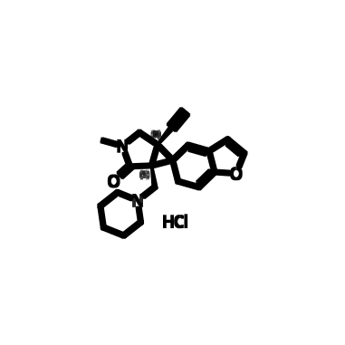 C#C[C@]12CN(C)C(=O)[C@@]1(CN1CCCCC1)C21C=c2ccoc2=CC1.Cl